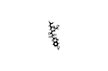 COc1ccc2nc(NNC(=O)[C@@H](CCCC(C)C)CN(O)C=O)nnc2c1